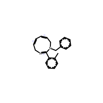 Cc1ccccc1/C1=N/C/C=C\C=C/CN1Cc1ccccc1